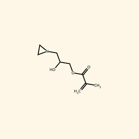 C=C(C)C(=O)OCC(O)CN1CC1